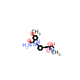 COc1ccc2nc(-c3cccc(C#CC4(O)CCN(C)C4=O)c3)nc(C(N)=O)c2c1